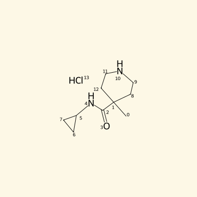 CC1(C(=O)NC2CC2)CCNCC1.Cl